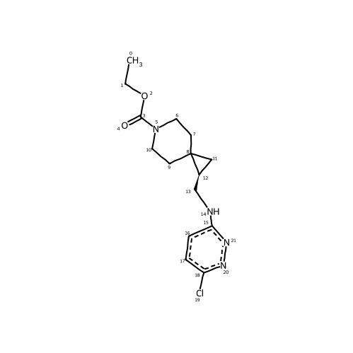 CCOC(=O)N1CCC2(CC1)C[C@H]2CNc1ccc(Cl)nn1